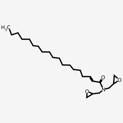 CCCCCCCCCCCCCCCCC=CC(=O)N(CC1CO1)CC1CO1